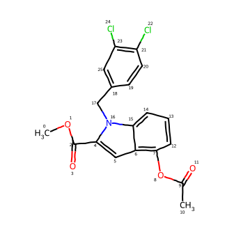 COC(=O)c1cc2c(OC(C)=O)cccc2n1Cc1ccc(Cl)c(Cl)c1